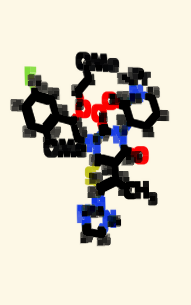 COCCO[C@@H](Cn1c(=O)n([C@@H]2CCCN(C(C)C)C2=O)c(=O)c2c(C)c(-n3nccn3)sc21)c1cc(F)ccc1OC